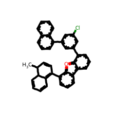 CC1C=CC(c2cccc3c2oc2c(-c4cc(Cl)cc(-c5cccc6ccccc56)c4)cccc23)=C2C=CC=CC21